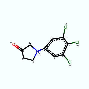 O=C1CCN(c2cc(Cl)c(Cl)c(Cl)c2)C1